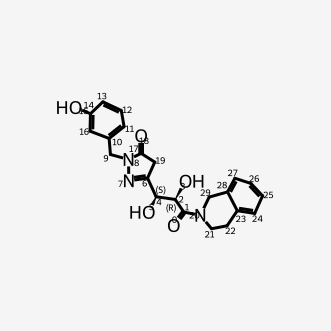 O=C([C@H](O)[C@@H](O)C1=NN(Cc2cccc(O)c2)C(=O)C1)N1CCc2ccccc2C1